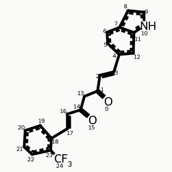 O=C(C=Cc1ccc2cc[nH]c2c1)CC(=O)C=Cc1ccccc1C(F)(F)F